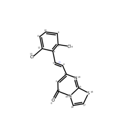 O=c1cc(/C=C/c2c(Cl)cccc2Cl)nc2sccn12